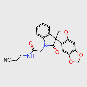 N#CCCNC(=O)CN1C(=O)C2(COc3cc4c(cc32)OCO4)c2ccccc21